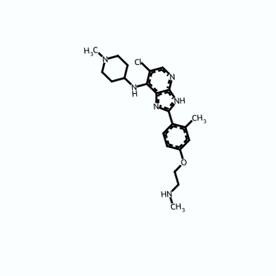 CNCCOc1ccc(-c2nc3c(NC4CCN(C)CC4)c(Cl)cnc3[nH]2)c(C)c1